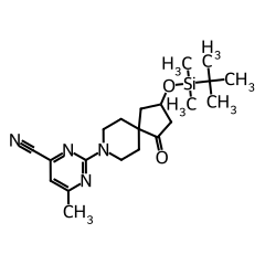 Cc1cc(C#N)nc(N2CCC3(CC2)CC(O[Si](C)(C)C(C)(C)C)CC3=O)n1